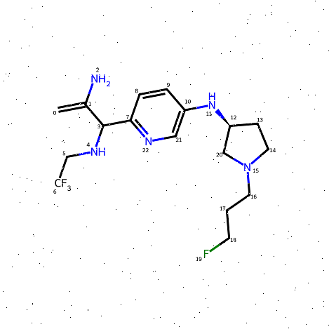 C=C(N)C(NCC(F)(F)F)c1ccc(N[C@H]2CCN(CCCF)C2)cn1